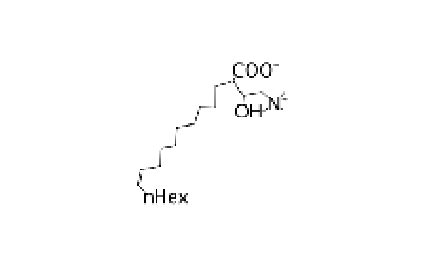 CCCCCC/C=C\CCCCCCCCC(C(=O)[O-])C(O)C[N+](C)(C)C